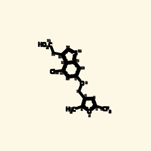 Cc1oc(C(F)(F)F)cc1COc1cc(Cl)c2c(CC(=O)O)csc2c1